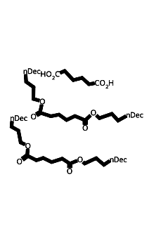 CCCCCCCCCCCCCOC(=O)CCCCC(=O)OCCCCCCCCCCCCC.CCCCCCCCCCCCCOC(=O)CCCCC(=O)OCCCCCCCCCCCCC.O=C(O)CCCCC(=O)O